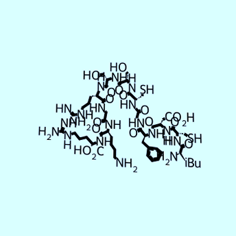 CC[C@H](C)[C@H](N)C(=O)N[C@@H](CS)C(=O)N[C@@H](CC(=O)O)C(=O)N[C@@H](Cc1ccccc1)C(=O)NCC(=O)N[C@@H](CS)C(=O)N[C@@H](CO)C(=O)N[C@@H](CO)C(=O)N[C@@H](CCCNC(=N)N)C(=O)NCC(=O)N[C@@H](CCCCN)C(=O)N[C@@H](CCCNC(=N)N)C(=O)O